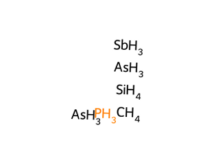 C.P.[AsH3].[AsH3].[SbH3].[SiH4]